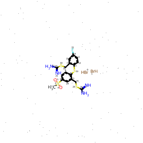 Br.Br.CS(=O)(=O)c1ccc(Sc2ccc(F)cc2CSC(=N)N)c(CSC(=N)N)c1